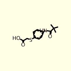 CC(C)(C)C(=O)Nc1ccc(SCC(=O)O)cc1